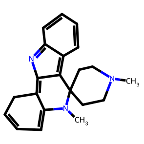 CN1CCC2(CC1)C1=c3ccccc3=NC1=C1CC=CC=C1N2C